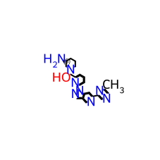 Cc1cncc(-c2cc3c(cn2)cnn3-c2cccc(C(O)N3CCC[C@H](N)C3)n2)n1